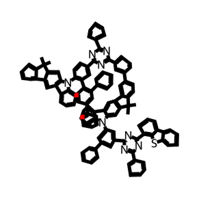 CC1(C)c2ccc(-c3cccc(-c4nc(-c5ccccc5)nc(-c5ccc(-n6c7ccccc7c7cc8c(cc76)C(C)(C)c6ccccc6-8)c(-c6ccc(-c7ccccc7)cc6-c6ccccc6)c5)n4)c3)cc2-c2cc3c4ccccc4n(-c4cc(-c5ccccc5)cc(-c5nc(-c6ccccc6)nc(-c6cccc7c6sc6ccccc67)n5)c4)c3cc21